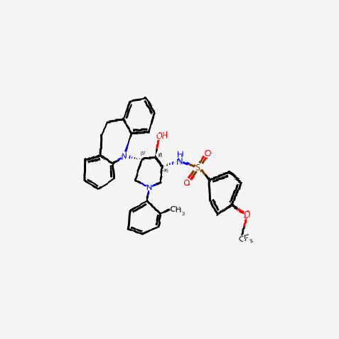 Cc1ccccc1N1C[C@@H](NS(=O)(=O)c2ccc(OC(F)(F)F)cc2)[C@H](O)[C@@H](N2c3ccccc3CCc3ccccc32)C1